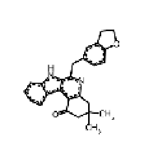 CC1(C)CC(=O)c2c(nc(Cc3ccc4c(c3)CCO4)c3[nH]c4ccccc4c23)C1